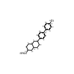 CCCCCCC1CCC2CC(c3ccc(-c4ccc(CC)cc4)cc3)CCC2C1